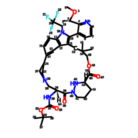 CO[C@@H](C)c1ncccc1-c1c2c3cc(ccc3n1CC(F)(F)F)C1CN(C1)C[C@H](NC(=O)OC(C)(C)C)C(=O)N1CCC[C@H](N1)C(=O)OCC(C)(C)C2